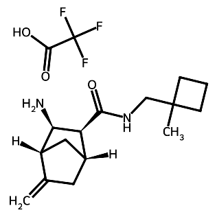 C=C1C[C@@H]2C[C@H]1[C@@H](N)[C@H]2C(=O)NCC1(C)CCC1.O=C(O)C(F)(F)F